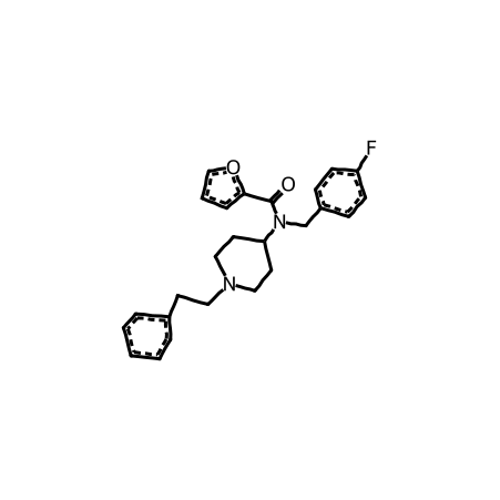 O=C(c1ccco1)N(Cc1ccc(F)cc1)C1CCN(CCc2ccccc2)CC1